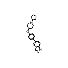 c1cc(-c2ccc3nncn3n2)ccc1OC1CCN(C2CCCC2)CC1